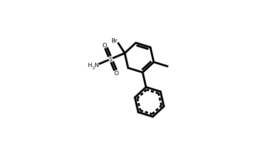 CC1=C(c2ccccc2)CC(Br)(S(N)(=O)=O)C=C1